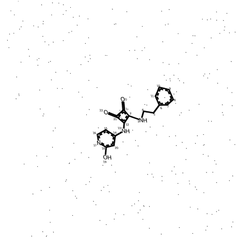 O=c1c(NCCc2ccccc2)c(Nc2ccnc(O)c2)c1=O